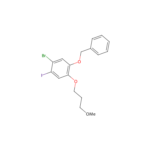 COCCCOc1cc(I)c(Br)cc1OCc1ccccc1